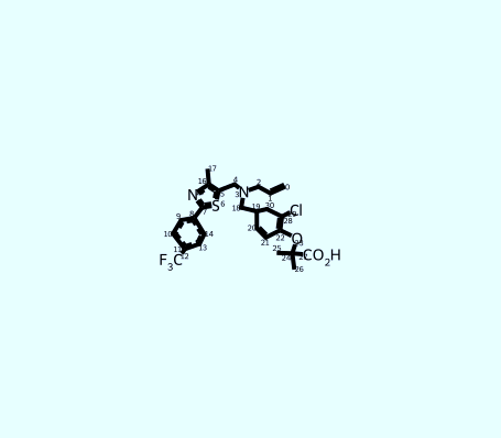 C=CCN(Cc1sc(-c2ccc(C(F)(F)F)cc2)nc1C)CC1C=CC(OC(C)(C)C(=O)O)=C(Cl)C1